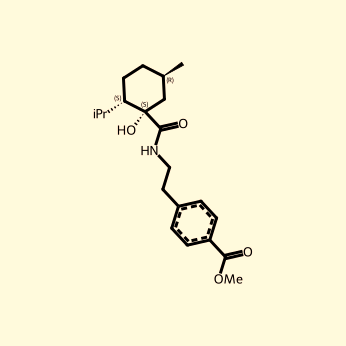 COC(=O)c1ccc(CCNC(=O)[C@]2(O)C[C@H](C)CC[C@H]2C(C)C)cc1